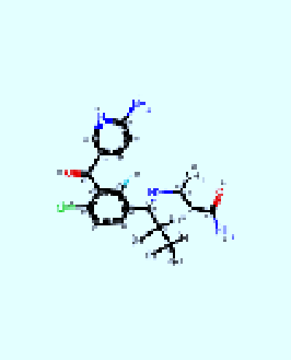 [2H]C([2H])([2H])C([2H])([2H])[C@@H](N[C@@H](C)CC(N)=O)c1ccc(Cl)c(C(=O)c2ccc(N)nc2)c1F